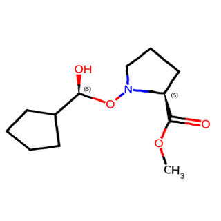 COC(=O)[C@@H]1CCCN1O[C@H](O)C1CCCC1